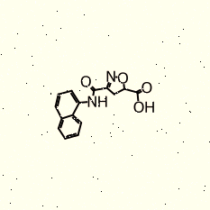 O=C(Nc1cccc2ccccc12)C1=NOC(C(=O)O)C1